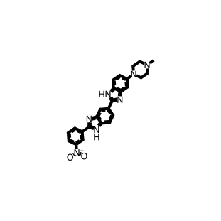 CN1CCN(c2ccc3[nH]c(-c4ccc5[nH]c(-c6cccc([N+](=O)[O-])c6)nc5c4)nc3c2)CC1